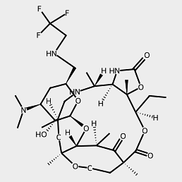 CC[C@H]1OC(=O)[C@@]2(C)CCO[C@@](C)(C[C@@H](C)CN[C@H](C)[C@H]3NC(=O)O[C@@]31C)[C@H](O[C@@H]1O[C@H](CNCC(F)(F)F)C[C@H](N(C)C)[C@H]1O)[C@@H](C)C2=O